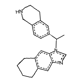 CC(c1ccc2c(c1)CCNC2)n1cnc2cc3c(cc21)CCCC3